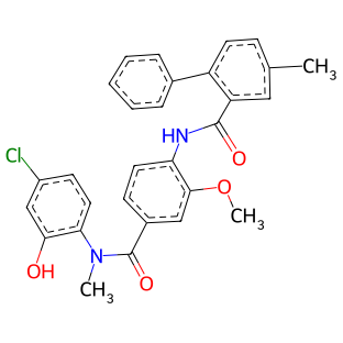 COc1cc(C(=O)N(C)c2ccc(Cl)cc2O)ccc1NC(=O)c1cc(C)ccc1-c1ccccc1